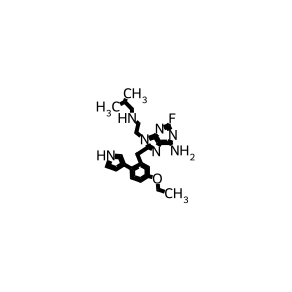 CCOc1ccc(-c2cc[nH]c2)c(Cc2nc3c(N)nc(F)nc3n2CCNCC(C)C)c1